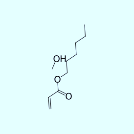 C=CC(=O)OCCCCCC.CO